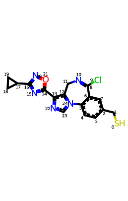 SCc1ccc2c(c1)C(Cl)=NCc1c(-c3nc(C4CC4)no3)ncn1-2